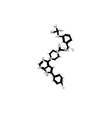 [2H]C([2H])([2H])Oc1cccc([C@H](C)NC(=O)N2CCN(c3ncnc4[nH]c(-c5ccc(F)cc5)cc34)CC2)c1